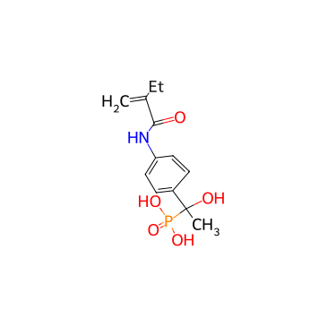 C=C(CC)C(=O)Nc1ccc(C(C)(O)P(=O)(O)O)cc1